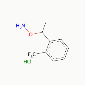 CC(ON)c1ccccc1C(F)(F)F.Cl